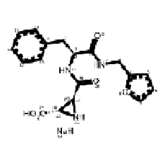 O=C(NCc1ccco1)[C@H](Cc1ccccc1)NC(=O)[C@H]1N[C@@H]1C(=O)O.[NaH]